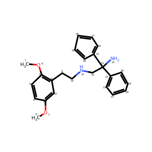 COc1ccc(OC)c(CCNCC(N)(c2ccccc2)c2ccccc2)c1